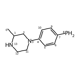 CC1CN(c2ccc(P)cc2)CCN1